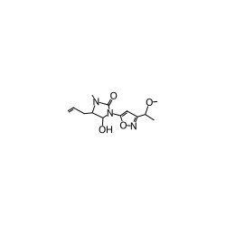 C=CCC1C(O)N(c2cc(C(C)OC)no2)C(=O)N1C